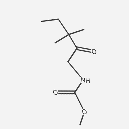 CCC(C)(C)C(=O)CNC(=O)OC